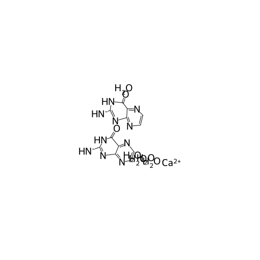 O.O.O.O.O.[Ca+2].[NH-]c1nc2nccnc2c(=O)[nH]1.[NH-]c1nc2nccnc2c(=O)[nH]1